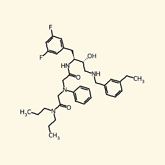 CCCN(CCC)C(=O)CN(CC(=O)N[C@@H](Cc1cc(F)cc(F)c1)[C@H](O)CNCc1cccc(CC)c1)c1ccccc1